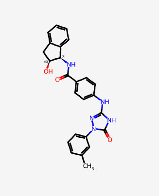 Cc1cccc(-n2nc(Nc3ccc(C(=O)N[C@@H]4c5ccccc5C[C@@H]4O)cc3)[nH]c2=O)c1